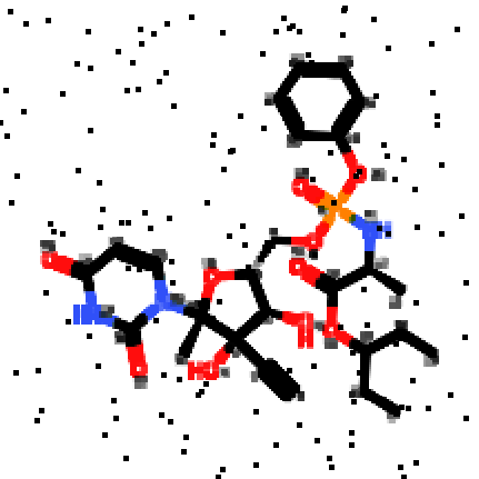 C#C[C@@]1(O)[C@H](O)[C@@H](COP(=O)(N[C@@H](C)C(=O)OC(CC)CC)Oc2ccccc2)O[C@@]1(C)n1ccc(=O)[nH]c1=O